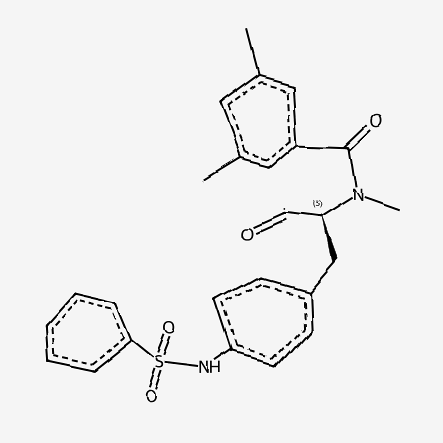 Cc1cc(C)cc(C(=O)N(C)[C@H]([C]=O)Cc2ccc(NS(=O)(=O)c3ccccc3)cc2)c1